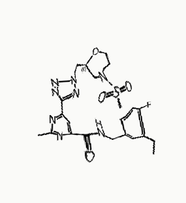 CCc1cc(CNC(=O)c2cc(-c3nnn(C[C@@H]4CN(S(C)(=O)=O)CCO4)n3)nc(C)n2)ccc1F